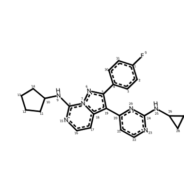 Fc1ccc(-c2nn3c(NC4CCCC4)nccc3c2-c2ccnc(NC3CC3)n2)cc1